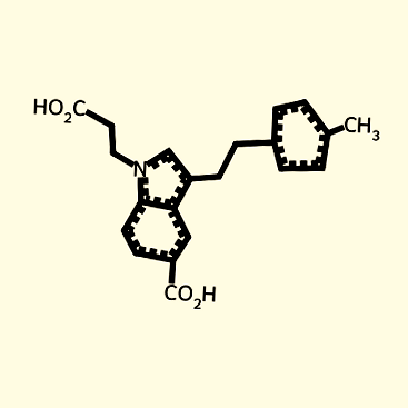 Cc1ccc(CCc2cn(CCC(=O)O)c3ccc(C(=O)O)cc23)cc1